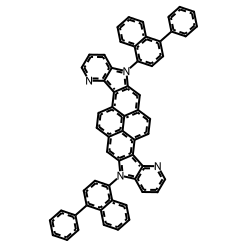 c1ccc(-c2ccc(-n3c4cccnc4c4c5ccc6cc7c(c8ccc(cc43)c5c68)c3ncccc3n7-c3ccc(-c4ccccc4)c4ccccc34)c3ccccc23)cc1